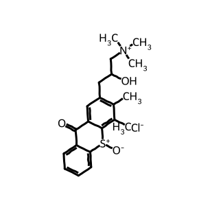 Cc1c(CC(O)C[N+](C)(C)C)cc2c(=O)c3ccccc3[s+]([O-])c2c1C.[Cl-]